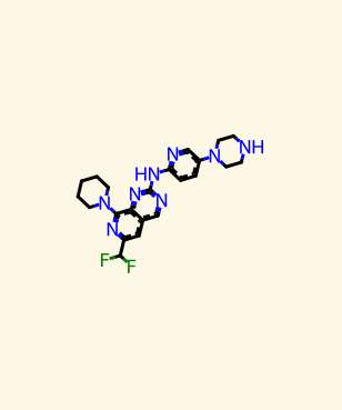 FC(F)c1cc2cnc(Nc3ccc(N4CCNCC4)cn3)nc2c(N2CCCCC2)n1